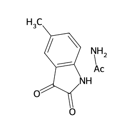 CC(N)=O.Cc1ccc2c(c1)C(=O)C(=O)N2